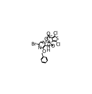 O=[N+]([O-])c1c(Cl)sc(Cl)c1S(=O)(=O)Nc1ncc(Br)nc1OCc1ccccc1